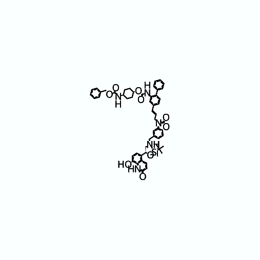 CC(C)(C)[Si](C)(C)O[C@@H](CNCc1ccc2oc(=O)n(CC=Cc3ccc(-c4ccccc4)c(NC(=O)O[C@H]4CC[C@H](NC(=O)OCc5ccccc5)CC4)c3)c2c1)c1ccc(O)c2[nH]c(=O)ccc12